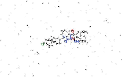 C=CCC(C(N)=O)C(CC(C)C)C(=O)NC1CCCCn2c(-c3ccc(-c4ccc(Cl)cc4)cc3)nnc21